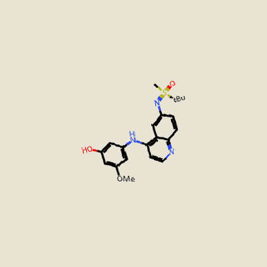 COc1cc(O)cc(Nc2ccnc3ccc(N=S(C)(=O)C(C)(C)C)cc23)c1